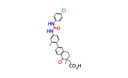 Cc1cc(NC(=O)Nc2ccc(Cl)cc2)ccc1-c1ccc2c(c1)CCC(C)(CC(=O)O)C2=O